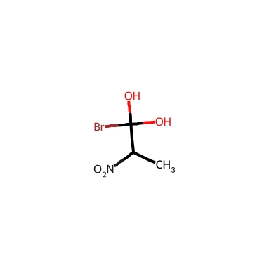 CC([N+](=O)[O-])C(O)(O)Br